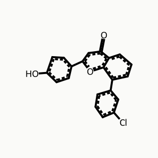 O=c1cc(-c2ccc(O)cc2)oc2c(-c3cccc(Cl)c3)cccc12